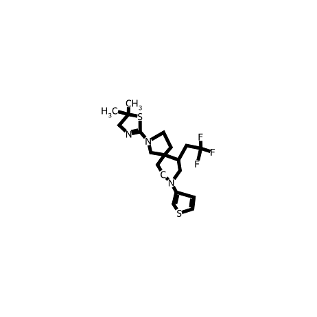 CC1(C)CN=C(N2CCC3(CCN(c4ccsc4)CC3CC(F)(F)F)C2)S1